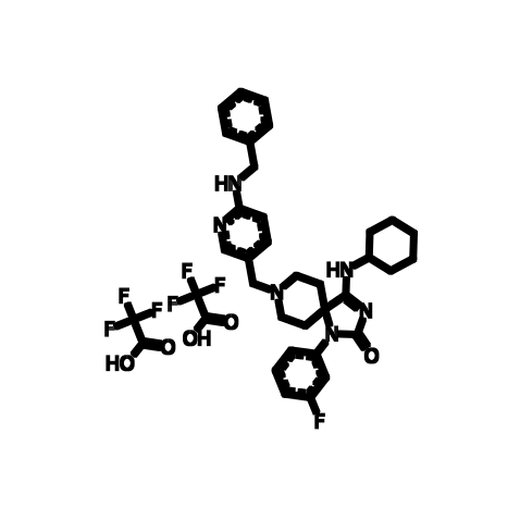 O=C(O)C(F)(F)F.O=C(O)C(F)(F)F.O=C1N=C(NC2CCCCC2)C2(CCN(Cc3ccc(NCc4ccccc4)nc3)CC2)N1c1cccc(F)c1